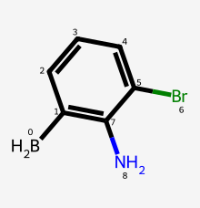 Bc1cccc(Br)c1N